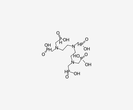 O=[PH](O)CN(CCN(C[PH](=O)O)C[PH](=O)O)CCN(C[PH](=O)O)CP(=O)(O)O